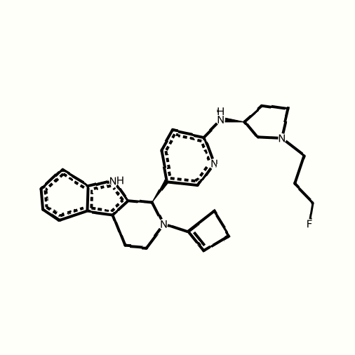 FCCCN1CC[C@H](Nc2ccc([C@@H]3c4[nH]c5ccccc5c4CCN3C3=CCC3)cn2)C1